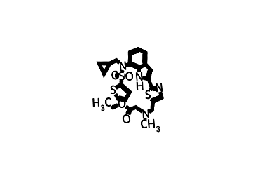 CCOC(=O)CN(C)Cc1cnc(-c2cc3cccc(N(CC4CC4)S(=O)(=O)c4cccs4)c3[nH]2)s1